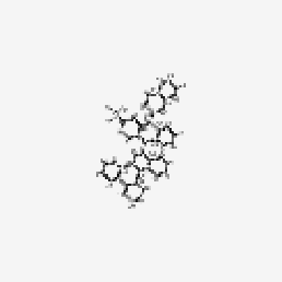 C[Si](C)(C)c1ccc2c(-c3cc4c5ccccc5c5ccccc5c4c4ccccc34)c3ccccc3c(-c3ccc4ccccc4c3)c2c1